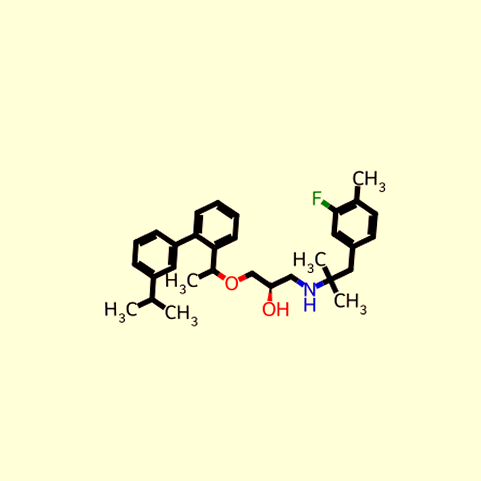 Cc1ccc(CC(C)(C)NC[C@@H](O)COC(C)c2ccccc2-c2cccc(C(C)C)c2)cc1F